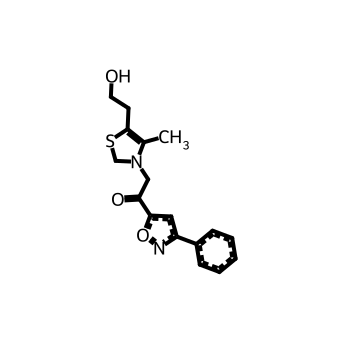 CC1=C(CCO)SCN1CC(=O)c1cc(-c2ccccc2)no1